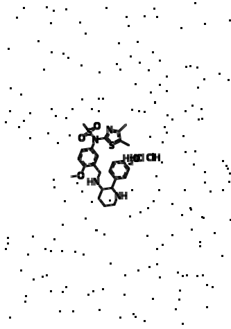 COc1ccc(N(c2nc(C)c(C)s2)S(C)(=O)=O)cc1CNC1CCCNC1c1ccccc1.Cl.Cl.O